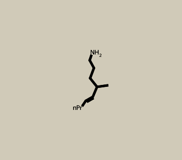 CCCC=CC(C)CCCN